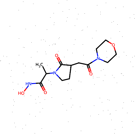 CC(C(=O)NO)N1CCC(CC(=O)N2CCOCC2)C1=O